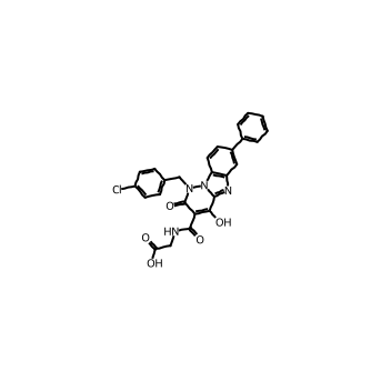 O=C(O)CNC(=O)c1c(O)c2nc3cc(-c4ccccc4)ccc3n2n(Cc2ccc(Cl)cc2)c1=O